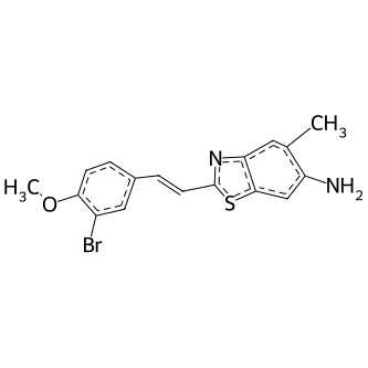 COc1ccc(C=Cc2nc3cc(C)c(N)cc3s2)cc1Br